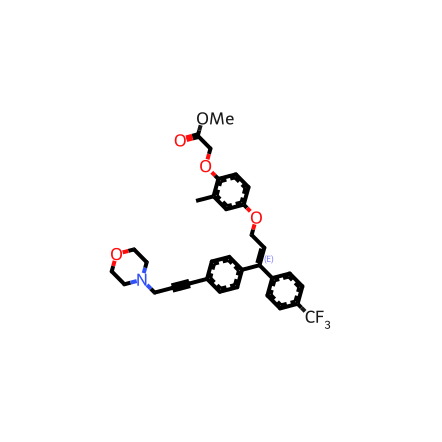 COC(=O)COc1ccc(OC/C=C(\c2ccc(C#CCN3CCOCC3)cc2)c2ccc(C(F)(F)F)cc2)cc1C